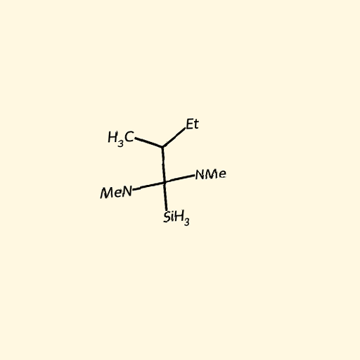 CCC(C)C([SiH3])(NC)NC